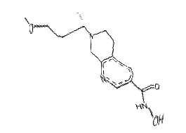 COCC[C@H](C)N1CCc2cc(C(=O)NO)cnc2C1